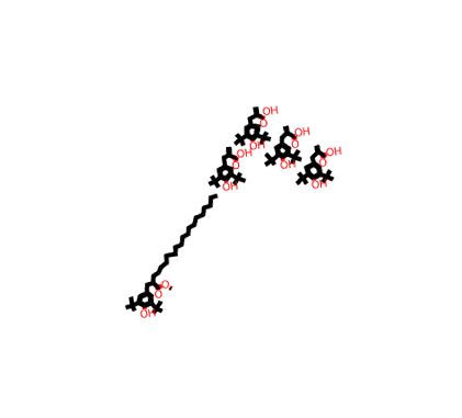 C=C(Cc1cc(C(C)(C)C)c(O)c(C(C)(C)C)c1)C(=O)O.C=C(Cc1cc(C(C)(C)C)c(O)c(C(C)(C)C)c1)C(=O)O.C=C(Cc1cc(C(C)(C)C)c(O)c(C(C)(C)C)c1)C(=O)O.C=C(Cc1cc(C(C)(C)C)c(O)c(C(C)(C)C)c1)C(=O)O.CCCCCCCCCCCCCCCCCCC(Cc1cc(C(C)(C)C)c(O)c(C(C)(C)C)c1)C(=O)OC